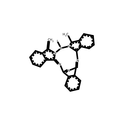 C=c1c2ccccc2/c2n1B(I)n1c(C)c3ccccc3c1/N=C1N=C(/N=2)c2ccccc2\1